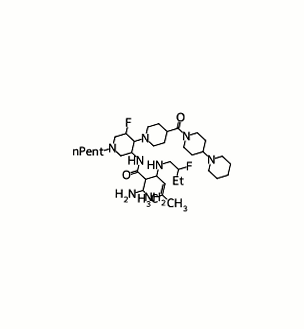 CCCCCN1CC(F)C(N2CCC(C(=O)N3CCC(N4CCCCC4)CC3)CC2)C(NC(=O)C(C(N)N)C(C=C(C)C)NCC(F)CC)C1